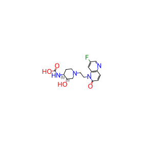 O=C(O)N[C@H]1CCN(CCn2c(=O)ccc3ncc(F)cc32)C[C@@H]1O